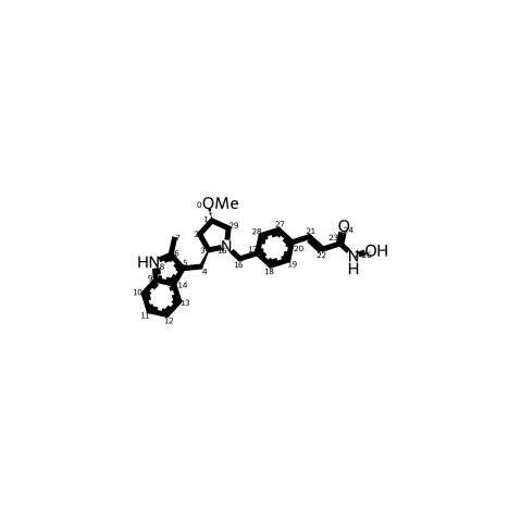 CO[C@H]1C[C@H](Cc2c(C)[nH]c3ccccc23)N(Cc2ccc(/C=C/C(=O)NO)cc2)C1